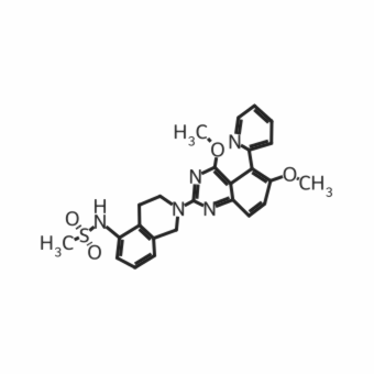 COc1ccc2nc(N3CCc4c(cccc4NS(C)(=O)=O)C3)nc(OC)c2c1-c1ccccn1